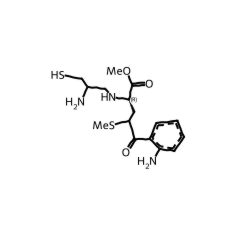 COC(=O)[C@@H](CC(SC)C(=O)c1ccccc1N)NCC(N)CS